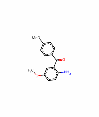 COc1ccc(C(=O)c2cc(OC(F)(F)F)ccc2N)cc1